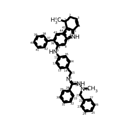 CC1CC=Cc2[nH]c3cc(Nc4ccc(C/N=C(\NN(C)Cc5ccccc5)c5ccccc5)cc4)c(-c4ccccc4)cc3c21